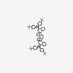 CC(C)(C)c1ccc(N(c2ccc(C(C)(C)C)cc2)c2cc3oc4c(ccc5c4oc4cc(N(c6ccc(C(C)(C)C)cc6)c6ccc(C(C)(C)C)cc6)c6ccccc6c45)c3c3ccccc23)cc1